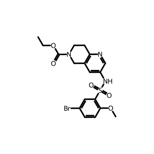 CCOC(=O)N1CCc2ncc(NS(=O)(=O)c3cc(Br)ccc3OC)cc2C1